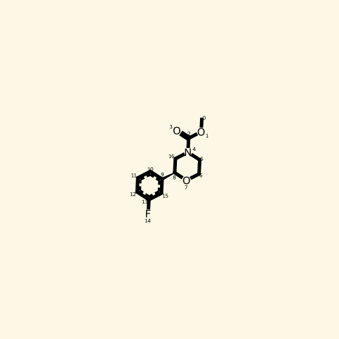 COC(=O)N1CCO[C@@H](c2cccc(F)c2)C1